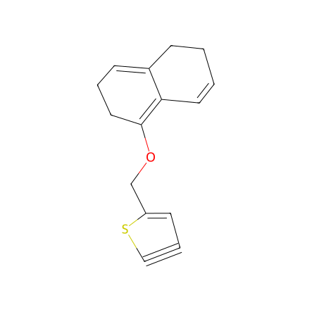 c1cc(COC2=C3C=CCCC3=CCC2)sc#1